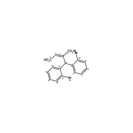 O=C(O)/C=C(/C(=O)O)C(c1ccccc1Br)c1ccccc1Br